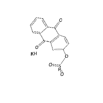 O=C1c2ccccc2C(=O)c2cc(O[SH](=O)=O)ccc21.[KH]